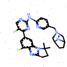 CN1C2CCC1CN(Cc1ccc(Nc3ncc(F)c(-c4cc(F)c5nc6n(c5c4)C(C)(C)CC6)n3)nc1)C2